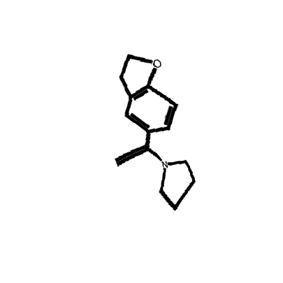 C=C(c1ccc2c(c1)CCO2)N1CCCC1